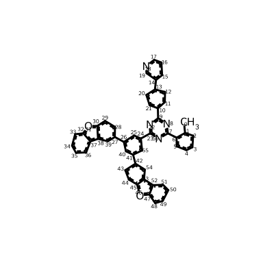 Cc1ccccc1-c1nc(-c2ccc(-c3cccnc3)cc2)nc(-c2cc(-c3ccc4oc5ccccc5c4c3)cc(-c3ccc4oc5ccccc5c4c3)c2)n1